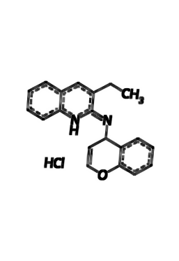 CCc1cc2ccccc2[nH]c1=NC1C=COc2ccccc21.Cl